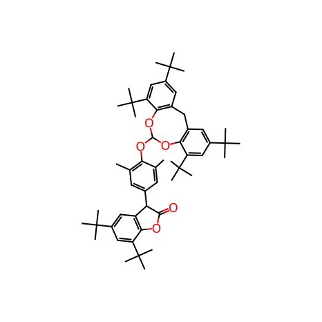 Cc1cc(C2C(=O)Oc3c2cc(C(C)(C)C)cc3C(C)(C)C)cc(C)c1OC1Oc2c(cc(C(C)(C)C)cc2C(C)(C)C)Cc2cc(C(C)(C)C)cc(C(C)(C)C)c2O1